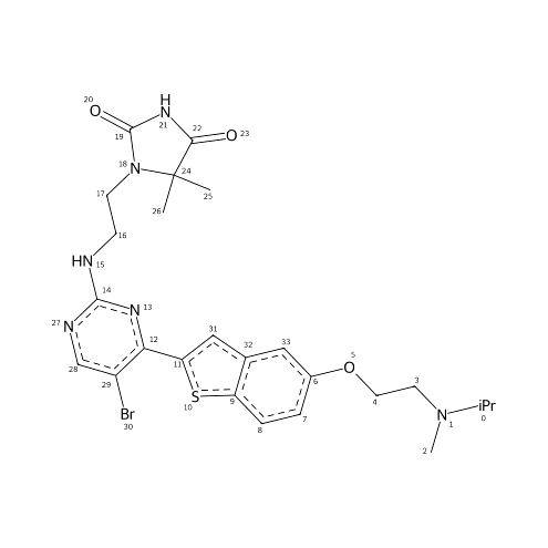 CC(C)N(C)CCOc1ccc2sc(-c3nc(NCCN4C(=O)NC(=O)C4(C)C)ncc3Br)cc2c1